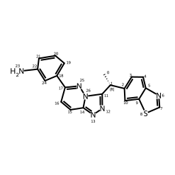 C[C@H](c1ccc2ncsc2c1)c1nnc2ccc(-c3cccc(N)c3)nn12